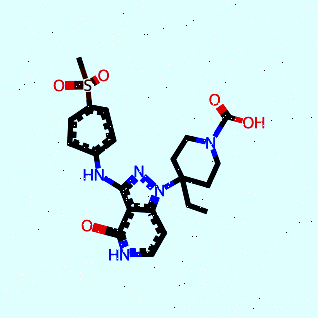 CCC1(n2nc(Nc3ccc(S(C)(=O)=O)cc3)c3c(=O)[nH]ccc32)CCN(C(=O)O)CC1